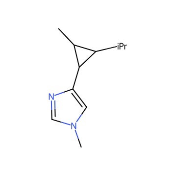 CC(C)C1C(C)C1c1cn(C)cn1